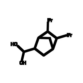 CC(C)C1C2CC(C(O)O)C(C2)C1C(C)C